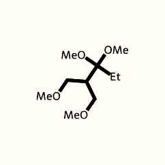 CCC(OC)(OC)C(COC)COC